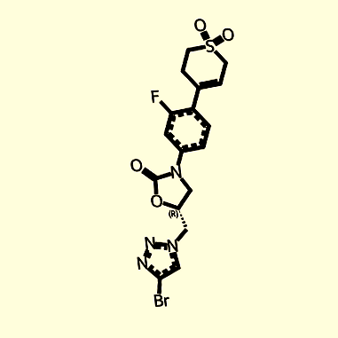 O=C1O[C@@H](Cn2cc(Br)nn2)CN1c1ccc(C2=CCS(=O)(=O)CC2)c(F)c1